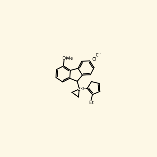 CCC1=[C]([Zr+2]2([CH]3c4ccccc4-c4c(OC)cccc43)[CH2][CH2]2)CC=C1.[Cl-].[Cl-]